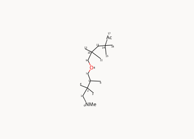 CNCC(C)(C)C(C)COCC(C)(C)CC(C)(C)C(C)=O